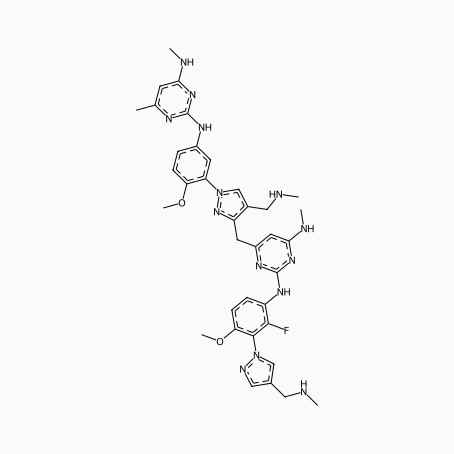 CNCc1cnn(-c2c(OC)ccc(Nc3nc(Cc4nn(-c5cc(Nc6nc(C)cc(NC)n6)ccc5OC)cc4CNC)cc(NC)n3)c2F)c1